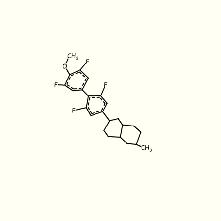 COc1c(F)cc(-c2c(F)cc(C3CCC4CC(C)CCC4C3)cc2F)cc1F